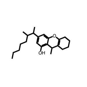 CCCCCC(C)C(C)c1cc(O)c2c(c1)OC1=C(CCCC1)C2C